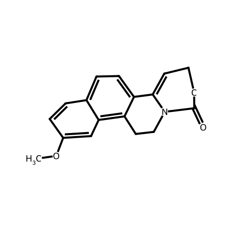 COc1ccc2ccc3c(c2c1)CCN1C(=O)CCC=C31